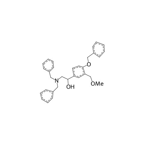 COCc1cc(C(O)CN(Cc2ccccc2)Cc2ccccc2)ccc1OCc1ccccc1